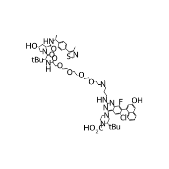 Cc1ncsc1-c1ccc([C@H](C)NC(=O)[C@@H]2C[C@@H](O)CN2C(=O)[C@@H](NC(=O)COCCOCCOCCOCCN(C)CCCNc2nc(N3CCN(C(=O)O)C(C(C)(C)C)C3)c3cc(Cl)c(-c4cc(O)cc5ccccc45)c(F)c3n2)C(C)(C)C)cc1